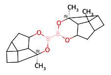 CC12C3CC4OB(B5OC6CC7C8CC9C78C6[C@@]9(C)O5)O[C@@](C)(C1C3)C42